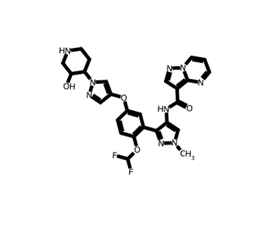 Cn1cc(NC(=O)c2cnn3cccnc23)c(-c2cc(Oc3cnn(C4CCNCC4O)c3)ccc2OC(F)F)n1